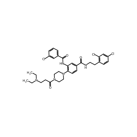 CCN(CC)CCC(=O)N1CCN(c2ccc(C(=O)NCCc3ccc(Cl)cc3Cl)cc2NC(=O)c2cccc(Cl)c2)CC1